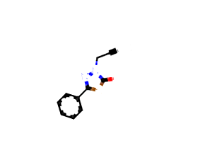 C#CCn1nc(-c2ccccc2)sc1=O